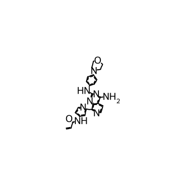 C=CC(=O)Nc1ccnc(-c2nccc3c(N)nc(Nc4ccc(N5CCOCC5)cc4)nc23)c1